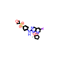 C[C@@]1(O)CCC[C@H]1N1CC(I)=Cc2cnc(Nc3ccc(S(=O)(=O)C4COC4)cc3)nc21